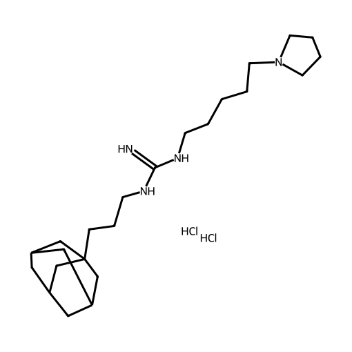 Cl.Cl.N=C(NCCCCCN1CCCC1)NCCCC12CC3CC(CC(C3)C1)C2